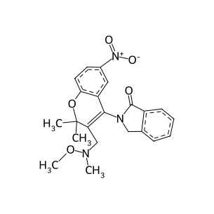 CON(C)CC1=C(N2Cc3ccccc3C2=O)c2cc([N+](=O)[O-])ccc2OC1(C)C